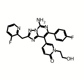 Nc1nc(-c2ccc(F)cc2)c(-c2ccc(=O)n(CCO)c2)c2nc(Cc3ncccc3F)nn12